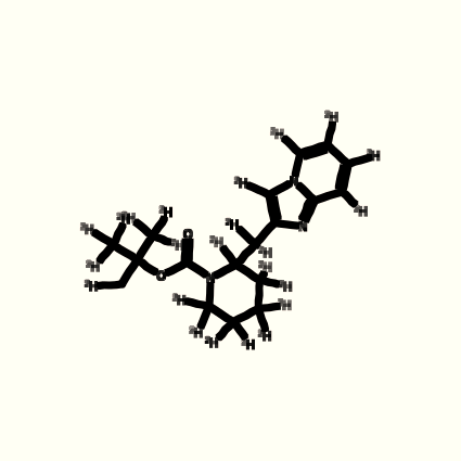 [2H]CC(OC(=O)N1C([2H])([2H])C([2H])([2H])C([2H])([2H])C([2H])([2H])C1([2H])C([2H])([2H])c1nc2c([2H])c([2H])c([2H])c([2H])n2c1[2H])(C([2H])([2H])[2H])C([2H])([2H])[2H]